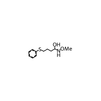 CONC(O)CCCSc1ccccc1